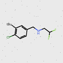 CC(C)(C)c1cc(CNCC(F)F)ccc1Cl